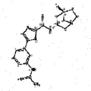 CC(=O)Nc1cccc(-c2cnc(C(=O)N[C@@H]3C[C@@H]4CCN(C4)C3)s2)c1